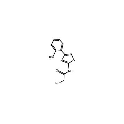 CC(C)(C)c1ccccc1-c1csc(NC(=O)CC#N)n1